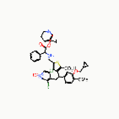 COc1ccc(C(Cc2c(Cl)c[n+]([O-])cc2Cl)c2cc(CNC(C(=O)O[C@H]3CN4CCC3CC4)c3ccccc3)sc2C(=O)O)cc1OCC1CC1